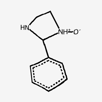 [O-][NH+]1CCNC1c1ccccc1